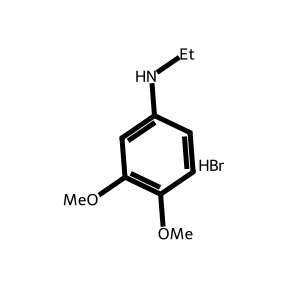 Br.CCNc1ccc(OC)c(OC)c1